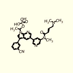 CC(OP(=O)(O)O)n1cc(-c2cccc(C#N)c2)c2cc(-c3cncc(N(C)C(=O)C=CCN(C)C)c3)cnc21